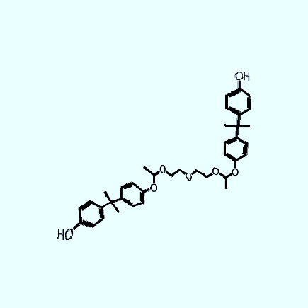 CC(OCCOCCOC(C)Oc1ccc(C(C)(C)c2ccc(O)cc2)cc1)Oc1ccc(C(C)(C)c2ccc(O)cc2)cc1